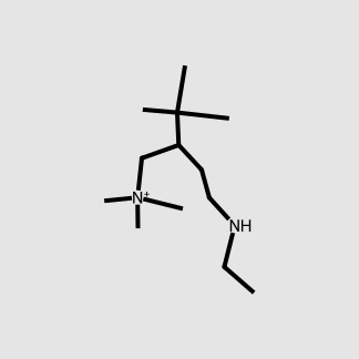 CCNCCC(C[N+](C)(C)C)C(C)(C)C